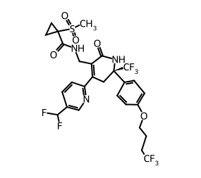 CS(=O)(=O)C1(C(=O)NCC2=C(c3ccc(C(F)F)cn3)C[C@](c3ccc(OCCCC(F)(F)F)cc3)(C(F)(F)F)NC2=O)CC1